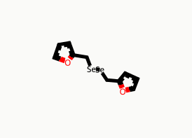 c1coc(C[Se][Se]Cc2ccco2)c1